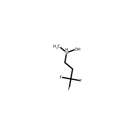 C[SiH](O)CCC(F)(F)F